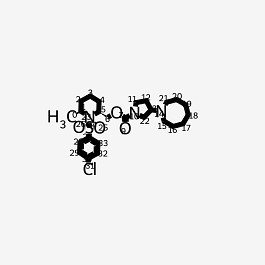 C[C@@H]1CCC[C@H](COC(=O)N2CCC(N3CCCCCCC3)C2)N1S(=O)(=O)c1ccc(Cl)cc1